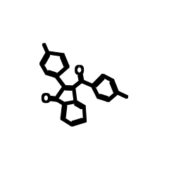 Cc1ccc(C(=O)C2=C(c3ccc(C)cc3)C(=O)c3ccccc32)cc1